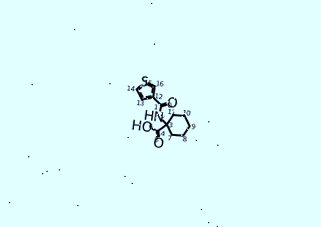 O=C(NC1(C(=O)O)CCCCC1)c1ccsc1